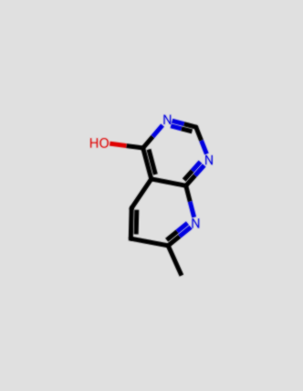 Cc1ccc2c(O)ncnc2n1